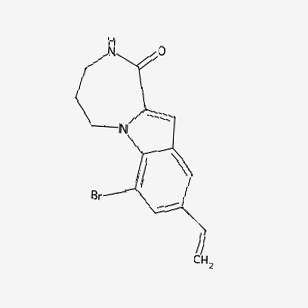 C=Cc1cc(Br)c2c(c1)cc1n2CCCNC1=O